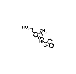 C[C@@H](NCC1CN(C)c2cc(CCC(=O)O)ccc2O1)c1cccc2ccccc12